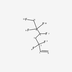 C=CC(F)(F)CC(F)C(F)(F)CF